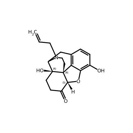 C=CCN1CC[C@@]23c4c5ccc(O)c4O[C@@H]2C(=O)CC[C@]3(O)C1C5